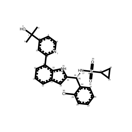 CC(C)(O)c1ccnc(-c2cccc3cc([C@H](NS(=O)(=O)C4CC4)c4ccccc4Cl)[nH]c23)c1